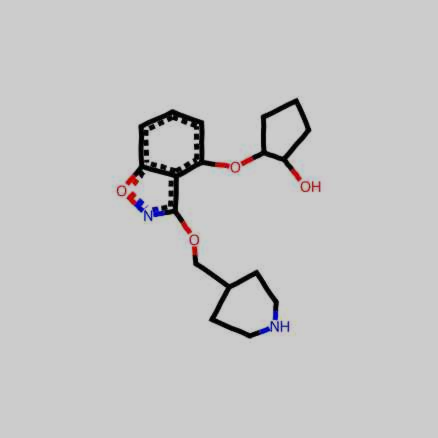 OC1CCCC1Oc1cccc2onc(OCC3CCNCC3)c12